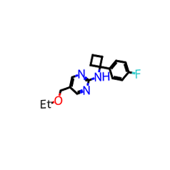 CCOCc1cnc(NC2(c3ccc(F)cc3)CCC2)nc1